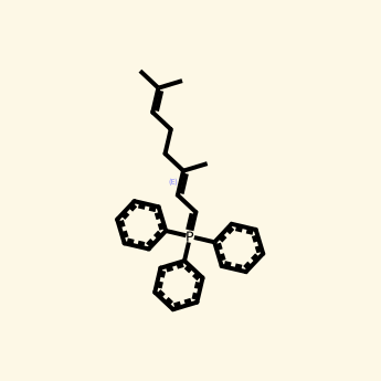 CC(C)=CCC/C(C)=C/C=P(c1ccccc1)(c1ccccc1)c1ccccc1